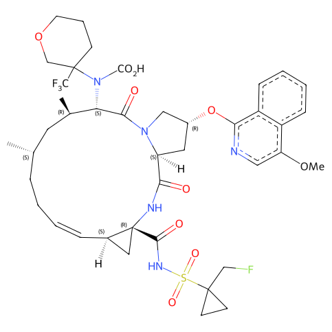 COc1cnc(O[C@@H]2C[C@H]3C(=O)N[C@]4(C(=O)NS(=O)(=O)C5(CF)CC5)C[C@H]4C=CCC[C@H](C)C[C@@H](C)[C@H](N(C(=O)O)C4(C(F)(F)F)CCCOC4)C(=O)N3C2)c2ccccc12